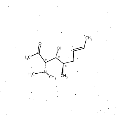 CC=CC[C@@H](C)[C@@H](O)[C@@H](C(C)=O)N(C)C